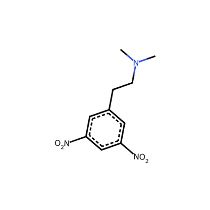 CN(C)CCc1cc([N+](=O)[O-])cc([N+](=O)[O-])c1